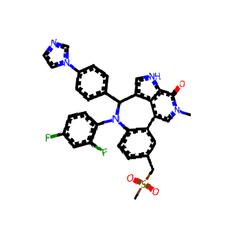 Cn1cc2c3c(c[nH]c3c1=O)C(c1ccc(-n3ccnc3)cc1)N(c1ccc(F)cc1F)c1ccc(CS(C)(=O)=O)cc1-2